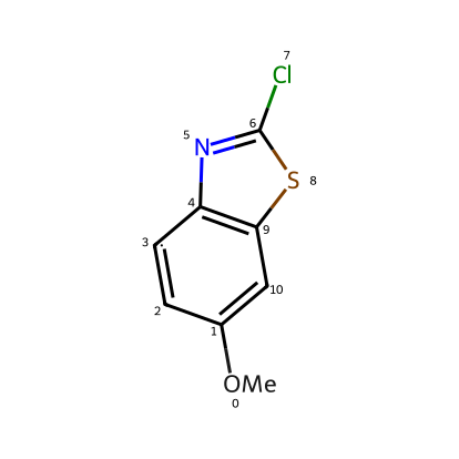 COc1c[c]c2nc(Cl)sc2c1